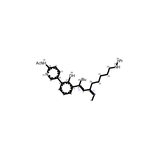 C/C=C(\C=C(\c1cccc(-c2ccc(NC(C)=O)nc2)c1O)C(C)CC)CCCCCNCCC